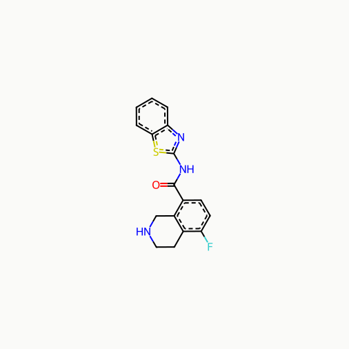 O=C(Nc1nc2ccccc2s1)c1ccc(F)c2c1CNCC2